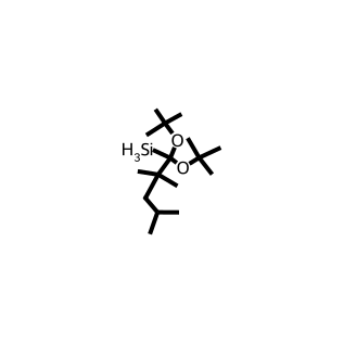 CC(C)CC(C)(C)C([SiH3])(OC(C)(C)C)OC(C)(C)C